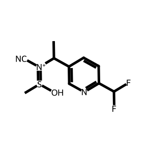 CC(c1ccc(C(F)F)nc1)[N+](C#N)=S(C)O